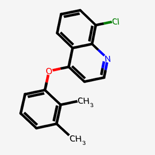 Cc1cccc(Oc2ccnc3c(Cl)cccc23)c1C